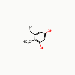 CC(=O)Cc1cc(O)cc(O)c1C(=O)O